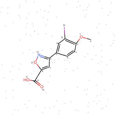 COc1ccc(-c2cc(C(=O)O)on2)cc1I